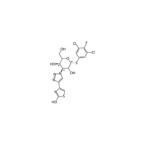 OCC1O[C@H](Sc2cc(Cl)c(F)c(Cl)c2)C(O)[C@@H](n2cc(-c3csc(O)n3)nn2)[C@H]1O